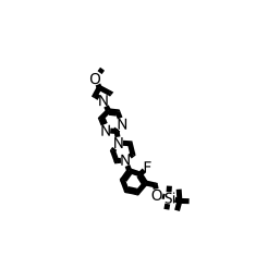 COC1CN(c2cnc(N3CCN(c4cccc(CO[Si](C)(C)C(C)(C)C)c4F)CC3)nc2)C1